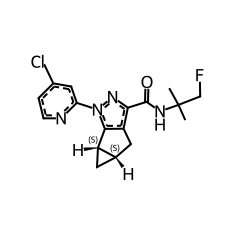 CC(C)(CF)NC(=O)c1nn(-c2cc(Cl)ccn2)c2c1C[C@@H]1C[C@H]21